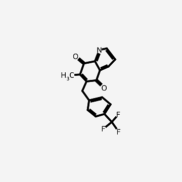 CC1=C(Cc2ccc(C(F)(F)F)cc2)C(=O)c2cccnc2C1=O